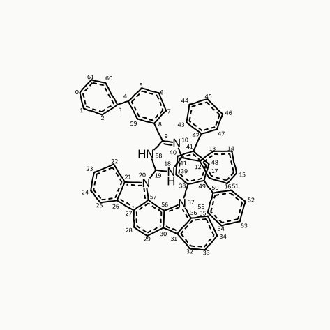 c1ccc(-c2cccc(C3=NC(c4ccccc4)NC(n4c5ccccc5c5ccc6c7ccccc7n(-c7ccc(-c8ccccc8)cc7-c7ccccc7)c6c54)N3)c2)cc1